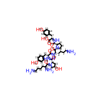 NCCCC[C@H](NC(=O)[C@H](Cc1ccc(O)cc1)NC(=O)[C@@H]1C[C@@H](O)CN1C(=O)[C@@H](N)CCCCN)C(=O)N1CCC[C@H]1C(=O)N[C@@H](Cc1ccc(O)cc1)C(=O)O